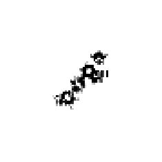 C[C@@H]1CN(c2ncc(-c3ccc(-n4cccn4)c4[nH]ncc34)nn2)C[C@H](C)N1